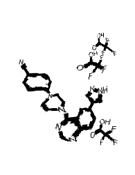 N#Cc1ccc(N2CCN(c3ncnc4ccc(-c5cn[nH]c5)cc34)CC2)cc1.O=C(O)C(F)(F)F.O=C(O)C(F)(F)F.O=C(O)C(F)(F)F